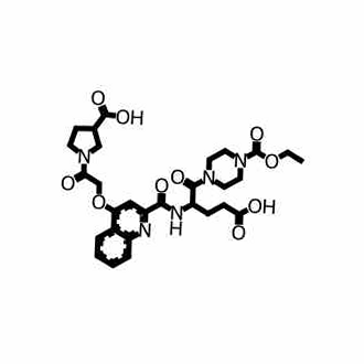 CCOC(=O)N1CCN(C(=O)C(CCC(=O)O)NC(=O)c2cc(OCC(=O)N3CCC(C(=O)O)C3)c3ccccc3n2)CC1